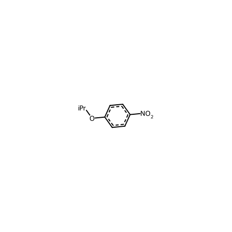 CC(C)Oc1ccc([N+](=O)[O-])cc1